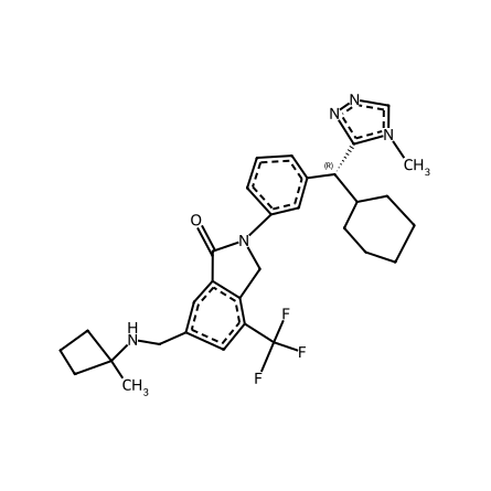 Cn1cnnc1[C@@H](c1cccc(N2Cc3c(cc(CNC4(C)CCC4)cc3C(F)(F)F)C2=O)c1)C1CCCCC1